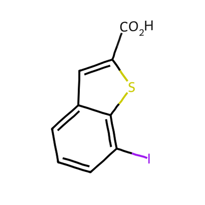 O=C(O)c1cc2cccc(I)c2s1